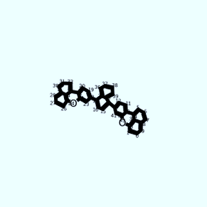 c1cc2c3c(cccc3c1)-c1ccc(-c3ccc(-c4ccc5c(c4)Oc4cccc6cccc-5c46)c4ccccc34)cc1O2